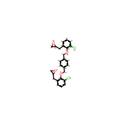 Clc1cccc(CC2CO2)c1OCc1ccc(COc2c(Cl)cccc2CC2CO2)cc1